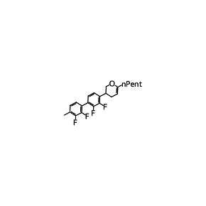 CCCCCC1=CCC(c2ccc(-c3ccc(C)c(F)c3F)c(F)c2F)CO1